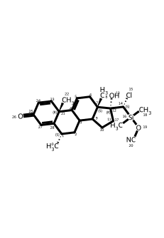 C[C@H]1CC2C(=CC[C@@]3(C)C2CC[C@]3(O)[C@H](Cl)[Si](C)(C)OC#N)[C@@]2(C)C=CC(=O)C=C12